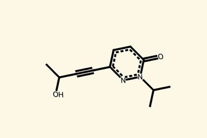 CC(O)C#Cc1ccc(=O)n(C(C)C)n1